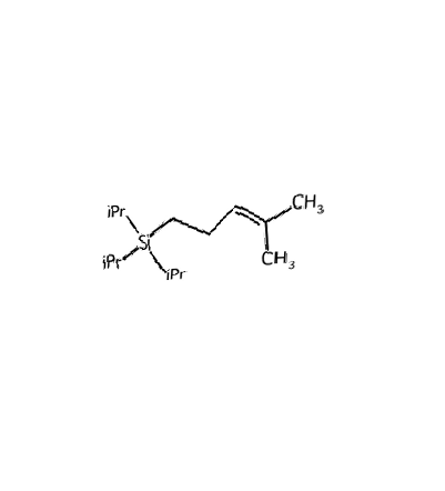 CC(C)=CCC[Si](C(C)C)(C(C)C)C(C)C